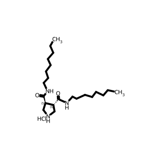 CCCCCCCCNC(=O)[C@@H]1CNC[C@H]1C(=O)NCCCCCCCC.Cl